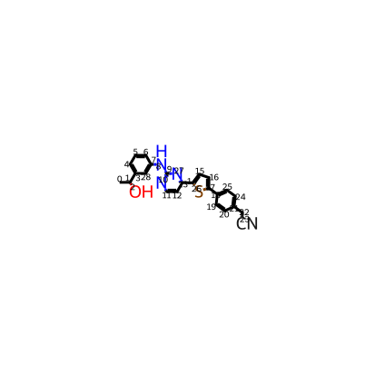 CC(O)c1cccc(Nc2nccc(-c3ccc(-c4ccc(CC#N)cc4)s3)n2)c1